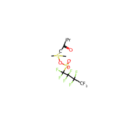 CC(C)C(=O)CS(C)(C)OS(=O)(=O)C(F)(F)C(F)(F)C(F)(F)C(F)(F)F